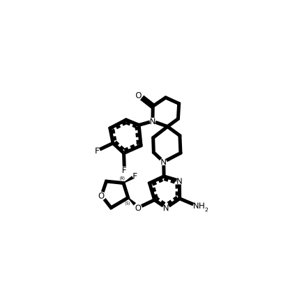 Nc1nc(O[C@H]2COC[C@H]2F)cc(N2CCC3(CCCC(=O)N3c3ccc(F)c(F)c3)CC2)n1